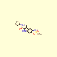 CCCCS(=O)(=O)Nc1ccc2[nH]c(C(=O)NC3CCCC3)c(C)c2c1